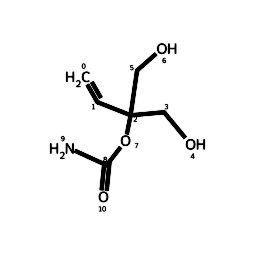 C=CC(CO)(CO)OC(N)=O